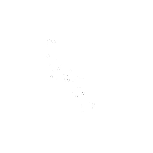 COCCOc1ccn2c(C(=O)Nc3cccc4c3cnn4Cc3ccccn3)cnc2c1